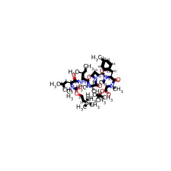 CC[C@H](C)[C@H](NC(=O)[C@H](CC(C)C)N(C)C(=O)OCC[Si](C)(C)C)C(=O)N(C)[C@@H](C)C(=O)N1CC[C@H]1C(=O)N(CC)[C@@H](Cc1ccc(C)cc1)C(=O)N(C)CC(=O)OC(C)(C)C